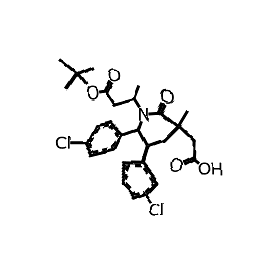 CC(CC(=O)OC(C)(C)C)N1C(=O)C(C)(CC(=O)O)CC(c2cccc(Cl)c2)C1c1ccc(Cl)cc1